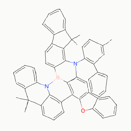 Cc1ccc(N2c3cc4c(oc5ccccc54)c4c3B(c3ccc5c(c32)C(C)(C)c2ccccc2-5)N2c3ccccc3C(C)(C)c3cccc-4c32)c(-c2ccccc2)c1